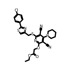 CCOC(=O)COc1nc(SCc2csc(-c3ccc(Cl)cc3)n2)c(C#N)c(N2CCCCC2)c1C#N